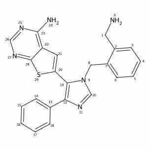 NCc1ccccc1Cn1cnc(-c2ccccc2)c1-c1cc2c(N)ncnc2s1